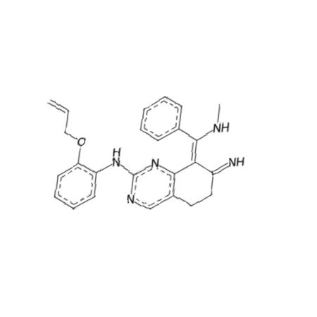 C=CCOc1ccccc1Nc1ncc2c(n1)/C(=C(/NC)c1ccccc1)C(=N)CC2